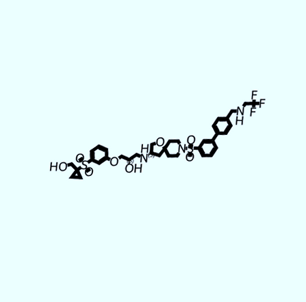 O=S(=O)(c1cccc(-c2ccc(CNCC(F)(F)F)cc2)c1)N1CCC2(CC1)C[C@H](NC[C@H](O)COc1cccc(S(=O)(=O)C3(CO)CC3)c1)CO2